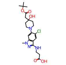 Cn1nc(NCCC(=O)O)c2cc(Cl)c(N3CCC(O)(CC(=O)OC(C)(C)C)CC3)cc21